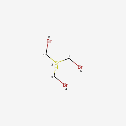 BrC[SH](CBr)CBr